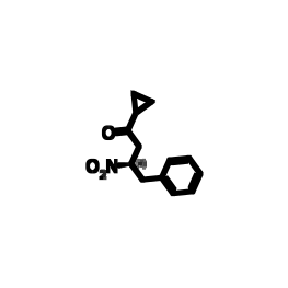 O=C(C[C@@H](Cc1ccccc1)[N+](=O)[O-])C1CC1